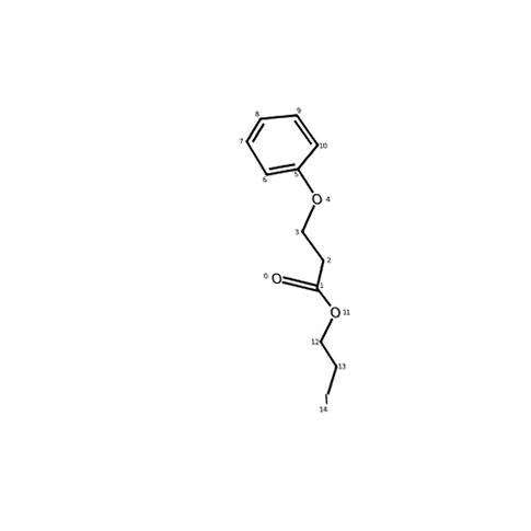 O=C(CCOc1ccccc1)OCCI